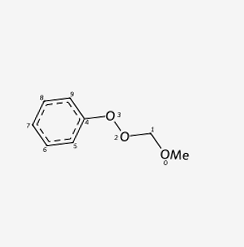 COCOOc1ccccc1